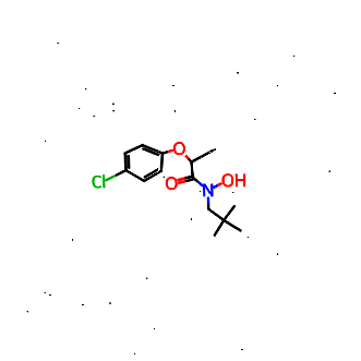 CC(Oc1ccc(Cl)cc1)C(=O)N(O)CC(C)(C)C